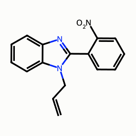 C=CCn1c(-c2ccccc2[N+](=O)[O-])nc2ccccc21